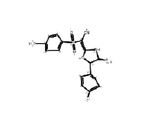 Cc1ccc(S(=O)(=O)C(C#N)=C2NC(C)C(c3ccc(Cl)cc3)O2)cc1